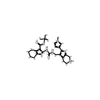 Cn1ccc(-c2sc3c(c2CNC(=O)Nc2sc4c(c2C(=O)OC(C)(C)C)CCCC4)CCNC3)c1